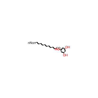 CCCCCCCCCC=CC=CC=CC=CC=CC(=O)O.Oc1cc(O)cc(O)c1